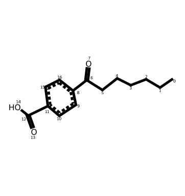 CCCCCCC(=O)c1ccc(C(=O)O)cc1